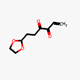 C=CC(=O)C(=O)CCC1OCCO1